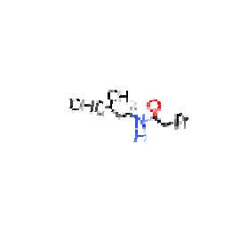 CC(C)CC(=O)NCCC(C)C=O